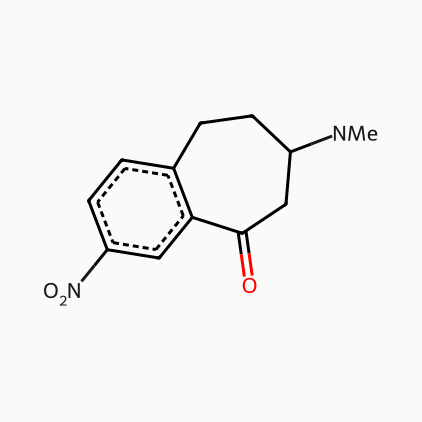 CNC1CCc2ccc([N+](=O)[O-])cc2C(=O)C1